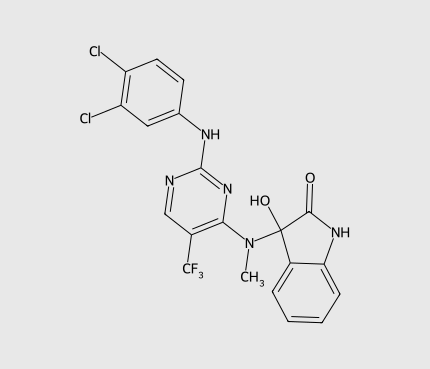 CN(c1nc(Nc2ccc(Cl)c(Cl)c2)ncc1C(F)(F)F)C1(O)C(=O)Nc2ccccc21